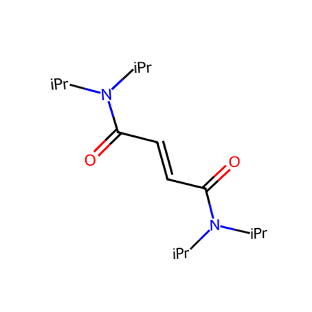 CC(C)N(C(=O)/C=C/C(=O)N(C(C)C)C(C)C)C(C)C